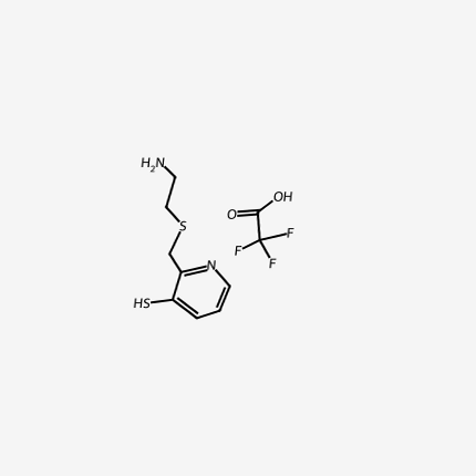 NCCSCc1ncccc1S.O=C(O)C(F)(F)F